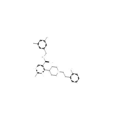 Cc1cc(C)cc(CNC(=O)c2cnc(C)nc2C2CCN(CCc3ccccc3Cl)CC2)c1